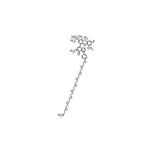 Cc1cc(F)cc(C)c1Oc1ccc(C(C)(C)O)cc1-c1cn(C)c(=O)c2c1ccn2-c1ccc(OCCOCCOCCOCCOCCOCCOCCOCCOCCN)cc1